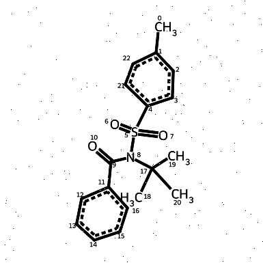 Cc1ccc(S(=O)(=O)N(C(=O)c2ccccc2)C(C)(C)C)cc1